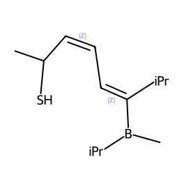 CB(/C(=C/C=C\C(C)S)C(C)C)C(C)C